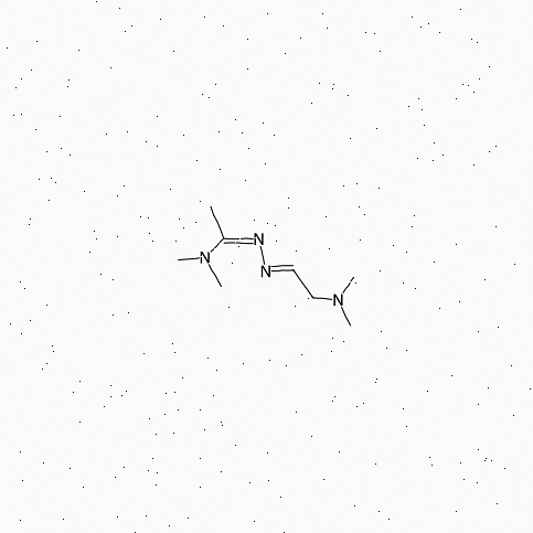 CC(=NN=CCN(C)C)N(C)C